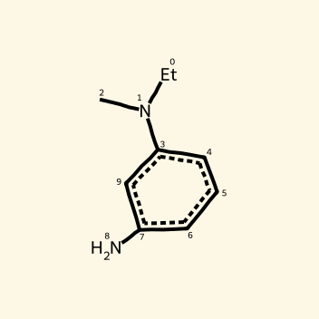 CCN(C)c1cccc(N)c1